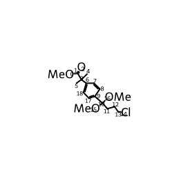 COC(=O)C(C)(C)c1ccc(C(CCCCl)(OC)OC)cc1